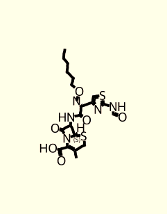 CCCCCCON=C(C(=O)NC1C(=O)N2C(C(=O)O)=C(C)CS[C@@H]12)c1csc(NC=O)n1